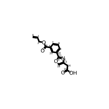 C=CCOC(=O)c1cccc(-c2nc(CC(=O)O)co2)c1